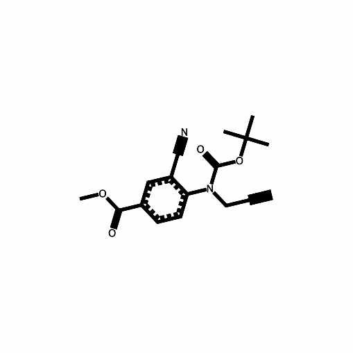 C#CCN(C(=O)OC(C)(C)C)c1ccc(C(=O)OC)cc1C#N